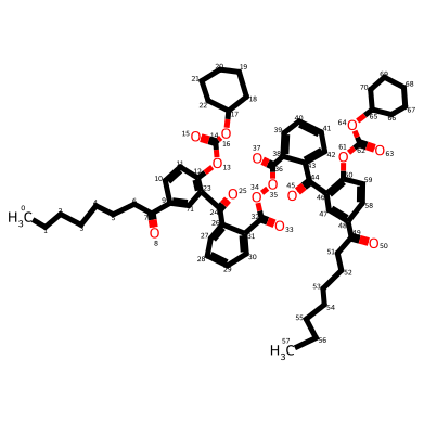 CCCCCCCC(=O)c1ccc(OC(=O)OC2CCCCC2)c(C(=O)c2ccccc2C(=O)OOC(=O)c2ccccc2C(=O)c2cc(C(=O)CCCCCCC)ccc2OC(=O)OC2CCCCC2)c1